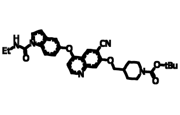 CCNC(=O)n1ccc2cc(Oc3ccnc4cc(OCC5CCN(C(=O)OC(C)(C)C)CC5)c(C#N)cc34)ccc21